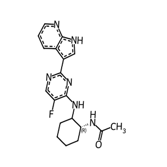 CC(=O)N[C@@H]1CCCCC1Nc1nc(-c2c[nH]c3ncccc23)ncc1F